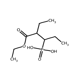 CCOC(=O)C(CC)C(CC)P(=O)(O)O